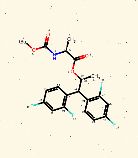 C[C@H](NC(=O)OC(C)(C)C)C(=O)O[C@@H](C)C(c1ccc(F)cc1F)c1ccc(F)cc1F